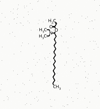 C=CC(=O)OC(CCCCCCCCCCCCCCCCC)N(CC)CC